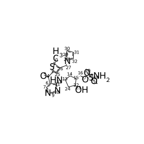 Cc1sc(C(=O)c2cncnc2N[C@@H]2C[C@H](COS(N)(=O)=O)[C@@H](O)C2)cc1Cn1cccc1